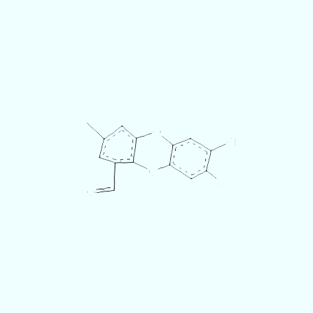 O=[C]c1cc(Cl)cc2c1Oc1cc(Cl)c(Cl)cc1O2